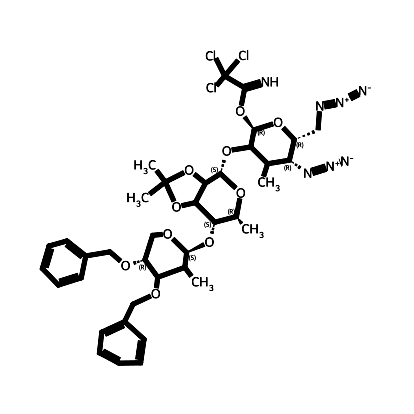 CC1C(OCc2ccccc2)[C@H](OCc2ccccc2)CO[C@H]1O[C@@H]1C2OC(C)(C)OC2[C@H](OC2C(C)[C@@H](N=[N+]=[N-])[C@@H](CN=[N+]=[N-])O[C@@H]2OC(=N)C(Cl)(Cl)Cl)O[C@@H]1C